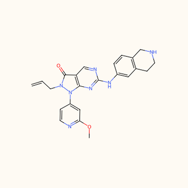 C=CCn1c(=O)c2cnc(Nc3ccc4c(c3)CCNC4)nc2n1-c1ccnc(OC)c1